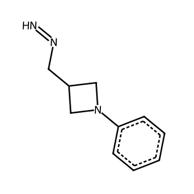 N=NCC1CN(c2ccccc2)C1